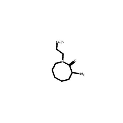 NC1CCCCCN(CCC(=O)O)C1=O